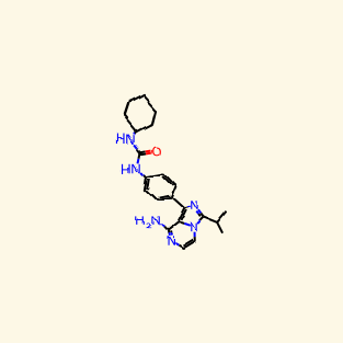 CC(C)c1nc(-c2ccc(NC(=O)NC3CCCCC3)cc2)c2c(N)nccn12